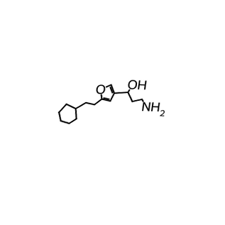 NCCC(O)c1coc(CCC2CCCCC2)c1